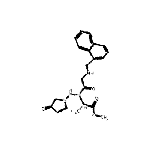 COC(=O)[C@H](C)N(NN1CCC(=O)C1)C(=O)CNCc1cccc2ccccc12